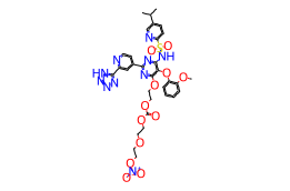 COc1ccccc1Oc1c(NS(=O)(=O)c2ccc(C(C)C)cn2)nc(-c2ccnc(-c3nnn[nH]3)c2)nc1OCCOC(=O)OCCOCCO[N+](=O)[O-]